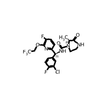 C[C@@H]1C(=O)NCCN1C(=O)N[C@@H](c1ccc(F)c(Cl)c1)c1ccc(F)c(OCC(F)(F)F)n1